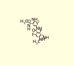 CNc1cc(F)c(C(=O)Nc2ccc(N)c(C(=N)OC)c2)c(F)c1C=N